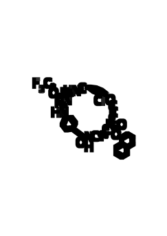 CC1(C)CNC(=O)c2ccc(cc2)Nc2nc(nc(OCC(F)(F)F)n2)NCc2ccc(c(Cl)c2)OCCCN(C(=O)Oc2cccc3ccccc23)C1